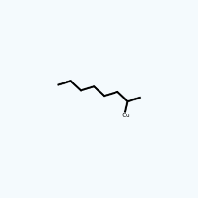 CCCCCC[CH](C)[Cu]